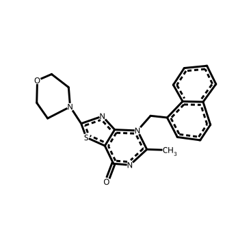 Cc1nc(=O)c2sc(N3CCOCC3)nc2n1Cc1cccc2ccccc12